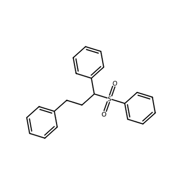 O=S(=O)(c1ccccc1)C(CCc1ccccc1)c1ccccc1